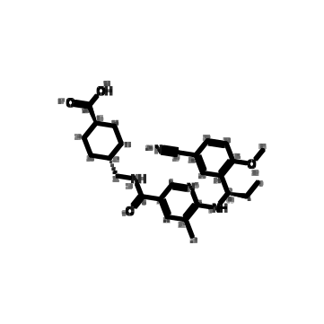 CC[C@@H](Nc1ncc(C(=O)NC[C@H]2CC[C@H](C(=O)O)CC2)cc1C)c1cc(C#N)ccc1OC